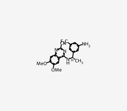 COc1cc2nc(C#N)nc(N[C@H](C)c3cc(N)cc(C(F)(F)F)c3)c2cc1OC